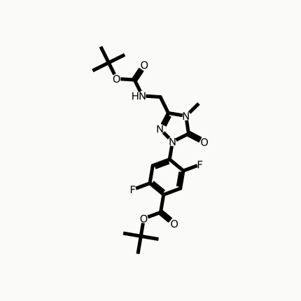 Cn1c(CNC(=O)OC(C)(C)C)nn(-c2cc(F)c(C(=O)OC(C)(C)C)cc2F)c1=O